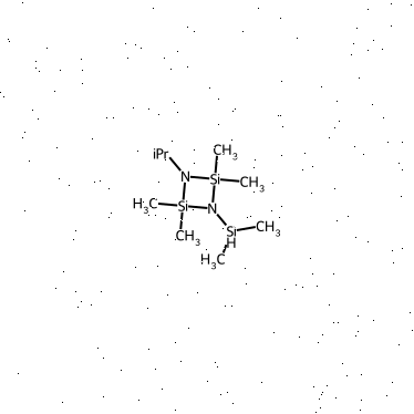 CC(C)N1[Si](C)(C)N([SiH](C)C)[Si]1(C)C